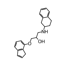 OC(CNC1CCc2ccccc2C1)COc1cccc2c1CC=C2